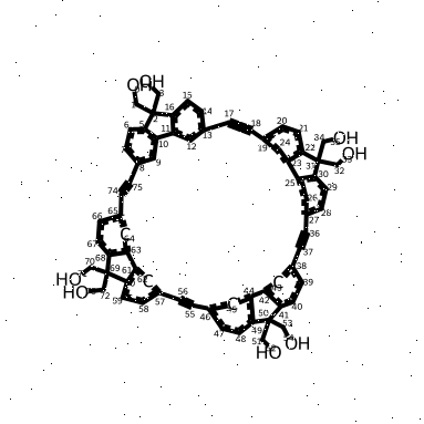 OCC1(CO)c2ccc3cc2-c2cc(ccc21)C#Cc1ccc2c(c1)-c1cc(ccc1C2(CO)CO)C#Cc1ccc2c(c1)-c1cc(ccc1C2(CO)CO)C#Cc1ccc2c(c1)-c1cc(ccc1C2(CO)CO)C#C3